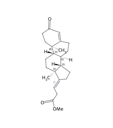 COC(=O)C/C=C1\CC[C@H]2[C@@H]3CCC4=CC(=O)CC[C@]4(C)[C@H]3CC[C@]12C